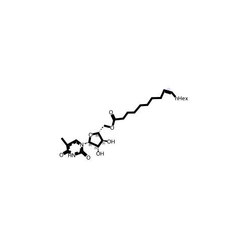 CCCCCC/C=C\CCCCCCCC(=O)OC[C@H]1O[C@@H](n2cc(C)c(=O)[nH]c2=O)[C@@H](O)[C@@H]1O